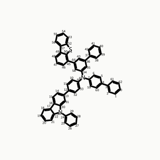 c1ccc(-c2ccc(N(c3ccc(-c4ccc5c6ccccc6n(-c6ccccc6)c5c4)cc3)c3cc(-c4ccccc4)cc(-c4cccc5c4sc4ccccc45)c3)cc2)cc1